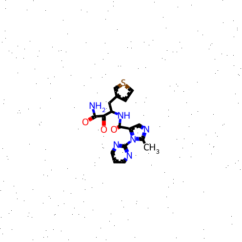 Cc1ncc(C(=O)NC(Cc2ccsc2)C(=O)C(N)=O)n1-c1ncccn1